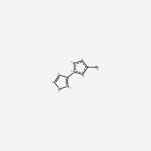 Brc1cnn(C2=N[N]C=C2)c1